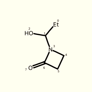 CCC(O)N1CCC1=O